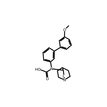 COc1cccc(-c2cccc(N(C(=O)O)C3CN4CCC3CC4)c2)c1